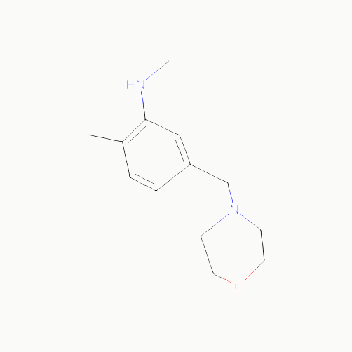 CNc1cc(CN2CCOCC2)ccc1C